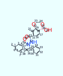 C=C(C)/C=C(\C=C(C)C)C(=O)N(NC(=O)c1ccc2c(c1C)OCCOB2O)C(c1ccccc1)C(C)(C)C